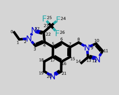 CCn1cc(-c2cc(Cn3ccnc3C)cc3c2CCN=C3)c(C(F)(F)F)n1